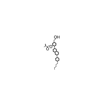 C=C(C)C(=O)COc1cc(CCO)ccc1-c1ccc2cc(-c3ccc(CCCCC)cc3)ccc2c1